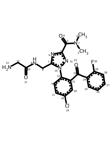 CN(C)C(=O)c1nc(CNC(=O)CN)n(-c2ccc(Cl)cc2C(=O)c2ccccc2F)n1